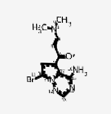 CN(C)C=CC(=O)c1cc(Br)n2ncnc(N)c12